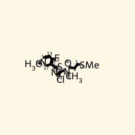 CSCCC(=O)N(C)c1sc(C2=C(F)C=CN(C)C2)nc1Cl